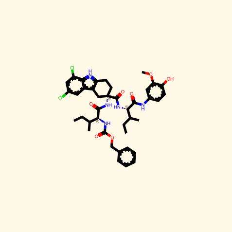 CCC(C)[C@H](NC(=O)OCc1ccccc1)C(=O)N[C@@]1(C(=O)N[C@H](C(=O)Nc2ccc(O)c(OC)c2)C(C)CC)CCc2[nH]c3c(Cl)cc(Cl)cc3c2C1